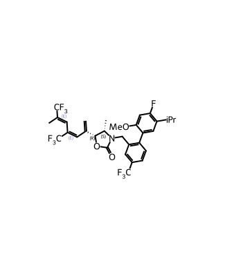 C=C(/C=C(\C=C(/C)C(F)(F)F)C(F)(F)F)[C@H]1OC(=O)N(Cc2cc(C(F)(F)F)ccc2-c2cc(C(C)C)c(F)cc2OC)[C@H]1C